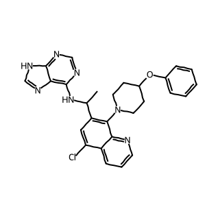 CC(Nc1ncnc2[nH]cnc12)c1cc(Cl)c2cccnc2c1N1CCC(Oc2ccccc2)CC1